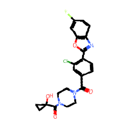 O=C(c1ccc(-c2nc3ccc(F)cc3o2)c(Cl)c1)N1CCN(C(=O)C2(O)CC2)CC1